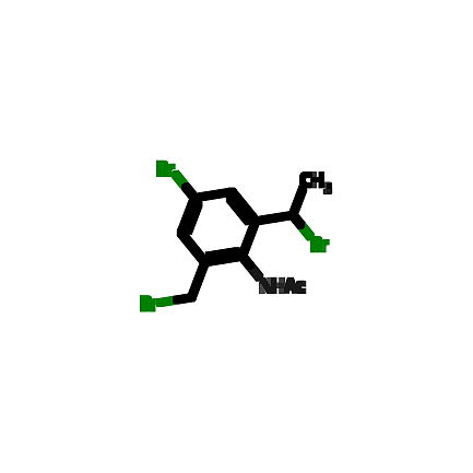 CC(=O)Nc1c(CBr)cc(Br)cc1C(C)Br